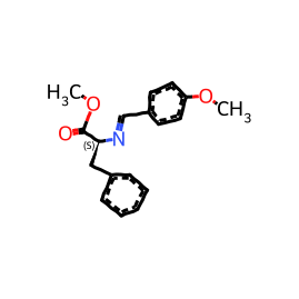 COC(=O)[C@H](Cc1ccccc1)N=Cc1ccc(OC)cc1